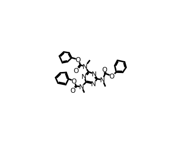 CN(C(=O)Oc1ccccc1)c1nc(N(C)C(=O)Oc2ccccc2)nc(N(C)C(=O)Oc2ccccc2)n1